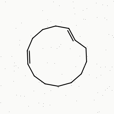 [CH]1CC/C=C\CCC/C=C/CCCC1